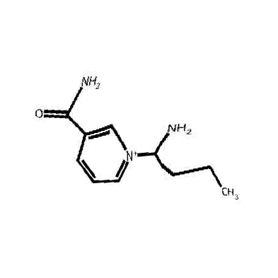 CCCC(N)[n+]1cccc(C(N)=O)c1